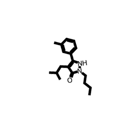 CCCCn1[nH]c(-c2cccc(C)c2)c(CC(C)C)c1=O